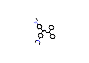 CCNc1ccc(/C(=C/C=C(c2ccccc2)c2ccccc2)c2ccc(N(CC)CC)cc2)cc1